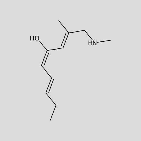 CC/C=C/C=C(O)\C=C(/C)CNC